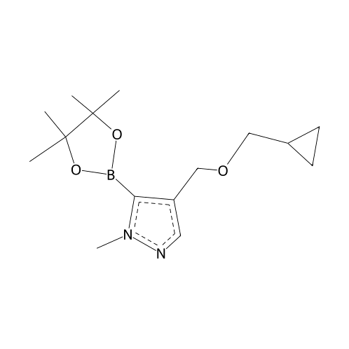 Cn1ncc(COCC2CC2)c1B1OC(C)(C)C(C)(C)O1